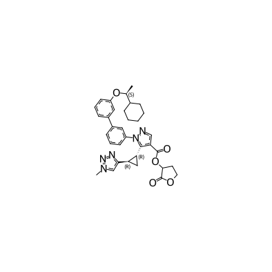 C[C@H](Oc1cccc(-c2cccc(-n3ncc(C(=O)OC4CCOC4=O)c3[C@@H]3C[C@H]3c3cn(C)nn3)c2)c1)C1CCCCC1